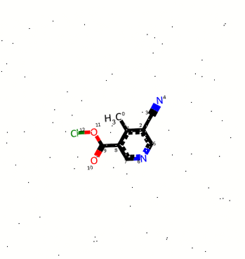 Cc1c(C#N)cncc1C(=O)OCl